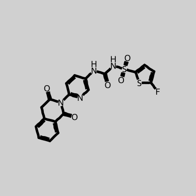 O=C(Nc1ccc(N2C(=O)Cc3ccccc3C2=O)nc1)NS(=O)(=O)c1ccc(F)s1